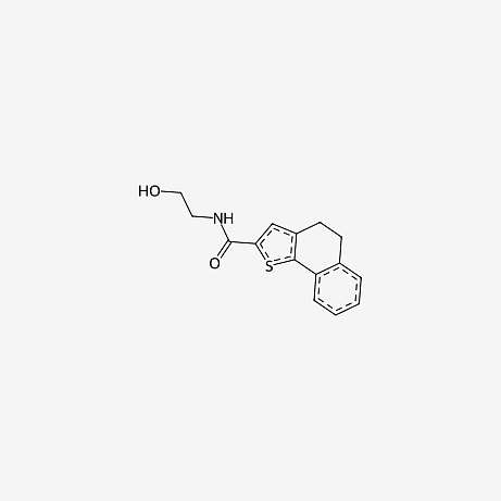 O=C(NCCO)c1cc2c(s1)-c1ccccc1CC2